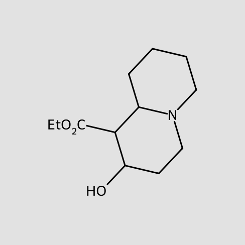 CCOC(=O)C1C(O)CCN2CCCCC12